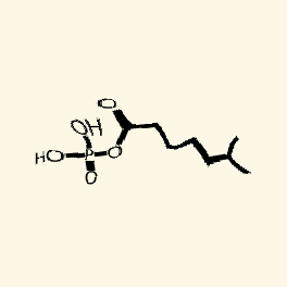 CC(C)CCCCC(=O)OP(=O)(O)O